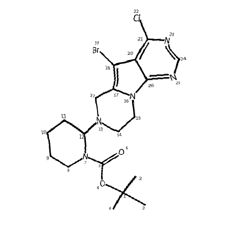 CC(C)(C)OC(=O)N1CCCCC1N1CCn2c(c(Br)c3c(Cl)ncnc32)C1